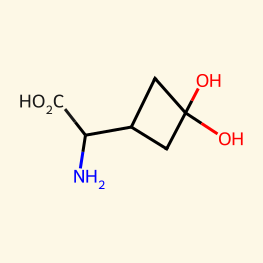 NC(C(=O)O)C1CC(O)(O)C1